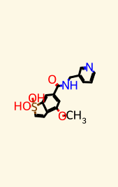 COc1cc(C(=O)NCc2cccnc2)cc2c1C=CS2(O)O